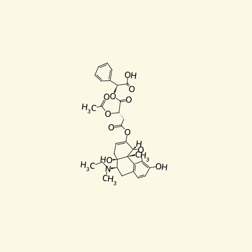 CCN(C)[C@@H]1Cc2ccc(O)c3c2[C@@]2(C)[C@@H](O3)C(OC(=O)C[C@H](OC(C)=O)C(=O)O[C@H](C(=O)O)c3ccccc3)=CC[C@@]12O